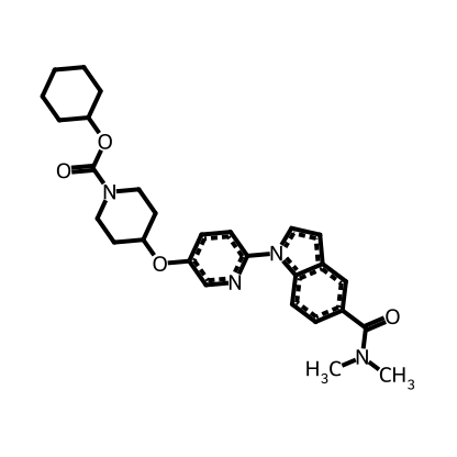 CN(C)C(=O)c1ccc2c(ccn2-c2ccc(OC3CCN(C(=O)OC4CCCCC4)CC3)cn2)c1